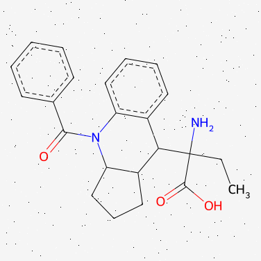 CCC(N)(C(=O)O)C1c2ccccc2N(C(=O)c2ccccc2)C2CCCC21